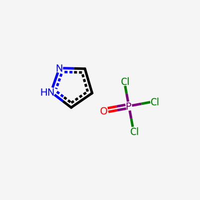 O=P(Cl)(Cl)Cl.c1cn[nH]c1